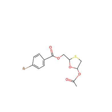 CC(=O)OC1CSC(COC(=O)c2ccc(Br)cc2)O1